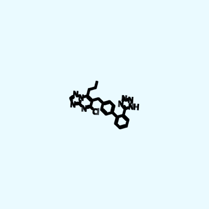 CCCc1c(Cc2ccc(-c3ccccc3-c3nnn[nH]3)cc2)c(Cl)nc2ncnn12